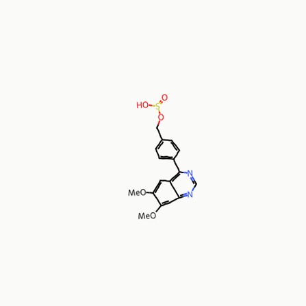 COc1cc2ncnc(-c3ccc(COS(=O)O)cc3)c2cc1OC